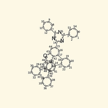 c1ccc(-c2nc(-c3ccccc3)nc(-c3cc(-c4ccccc4-c4ccc5c6ccccc6c6ccccc6c5c4)c4c(c3)oc3ccccc34)n2)cc1